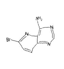 Nc1ncnc2ccc(Br)nc12